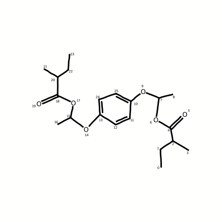 CCC(C)C(=O)OC(C)Oc1ccc(OC(C)OC(=O)C(C)CC)cc1